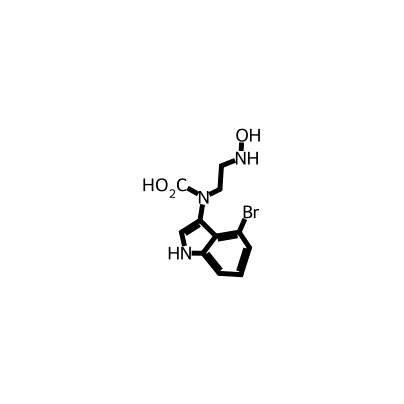 O=C(O)N(CCNO)c1c[nH]c2cccc(Br)c12